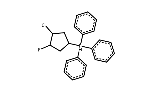 FC1CC([PH](c2ccccc2)(c2ccccc2)c2ccccc2)CC1Cl